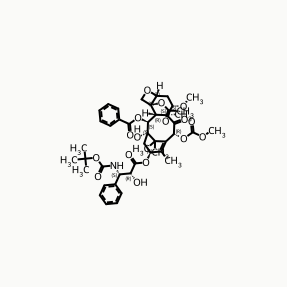 COC(=O)O[C@H]1C(=O)[C@]2(C)[C@@H](OC)C[C@H]3OC[C@@]3(OC(C)=O)[C@H]2[C@H](OC(=O)c2ccccc2)[C@]2(O)C[C@H](OC(=O)[C@H](O)[C@@H](NC(=O)OC(C)(C)C)c3ccccc3)C(C)=C1C2(C)C